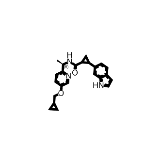 C[C@@H](NC(=O)C1CC1c1ccc2cc[nH]c2c1)c1ccc(OCC2CC2)cn1